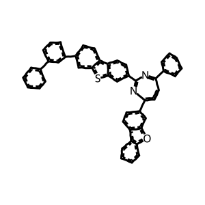 C1=CC(c2ccccc2)=NC(c2ccc3c(c2)sc2cc(-c4cccc(-c5ccccc5)c4)ccc23)=NC=1c1ccc2c(c1)oc1ccccc12